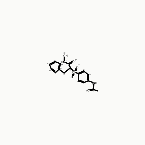 CC(=O)Nc1ccc(S(=O)(=O)C(Cc2ccccc2)C(=O)NO)cc1